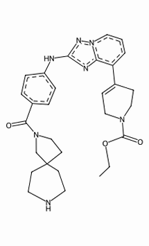 CCOC(=O)N1CC=C(c2cccn3nc(Nc4ccc(C(=O)N5CCC6(CCNCC6)C5)cc4)nc23)CC1